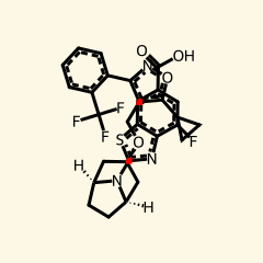 O=C(O)c1cc(F)c2nc(N3[C@@H]4CC[C@H]3C[C@@H](OCc3c(-c5ccccc5C(F)(F)F)noc3C3CC3)C4)sc2c1